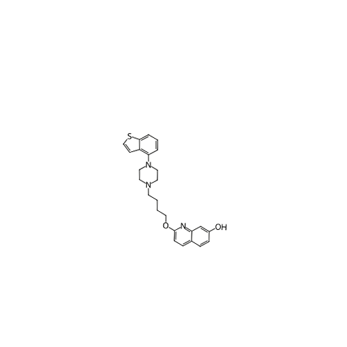 Oc1ccc2ccc(OCCCCN3CCN(c4cccc5sccc45)CC3)nc2c1